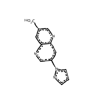 O=C(O)c1cnc2cc(-n3cccn3)cnc2c1